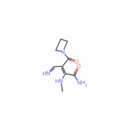 CN/C(C(N)=O)=C(\C=N)C(=O)N1CCC1